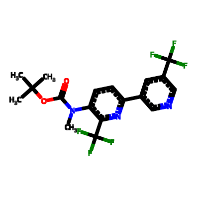 CN(C(=O)OC(C)(C)C)c1ccc(-c2cncc(C(F)(F)F)c2)nc1C(F)(F)F